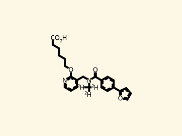 [2H]C([2H])([2H])N(Cc1cccnc1OCCCCCC(=O)O)C(=O)c1ccc(-c2ccco2)cc1